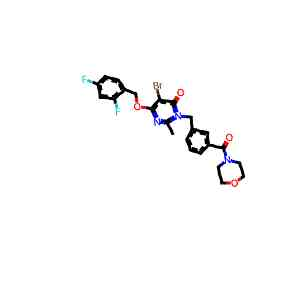 Cc1nc(OCc2ccc(F)cc2F)c(Br)c(=O)n1Cc1cccc(C(=O)N2CCOCC2)c1